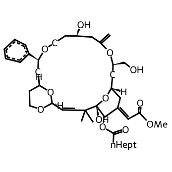 C=C1C[C@H](O)CCO[C@H](c2ccccc2)C[C@@H]2CCO[C@H](/C=C/C(C)(C)[C@]3(O)O[C@@H](C/C(=C\C(=O)OC)[C@@H]3OC(=O)CCCCCCC)C[C@H](CO)O1)O2